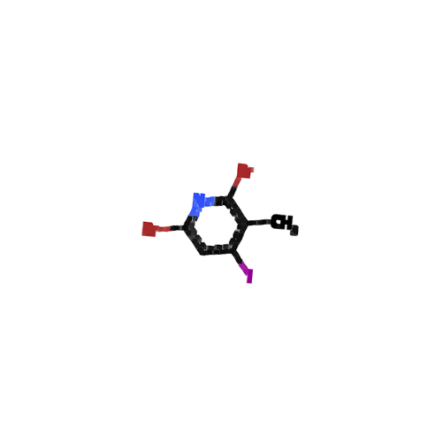 Cc1c(I)cc(Br)nc1Br